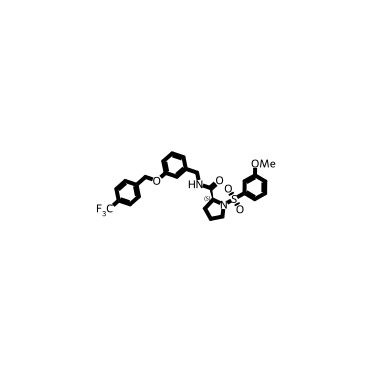 COc1cccc(S(=O)(=O)N2CCC[C@H]2C(=O)NCc2cccc(OCc3ccc(C(F)(F)F)cc3)c2)c1